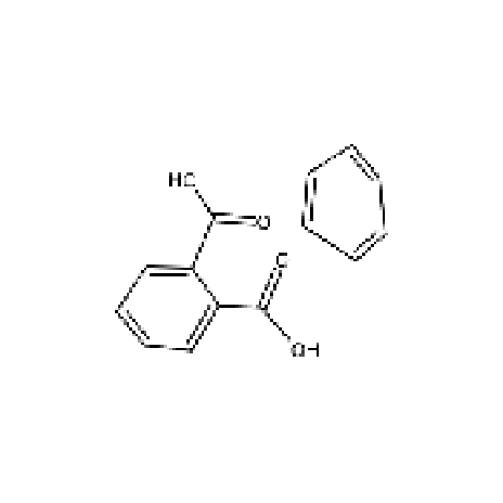 O=C(O)c1ccccc1C(=O)O.c1ccccc1